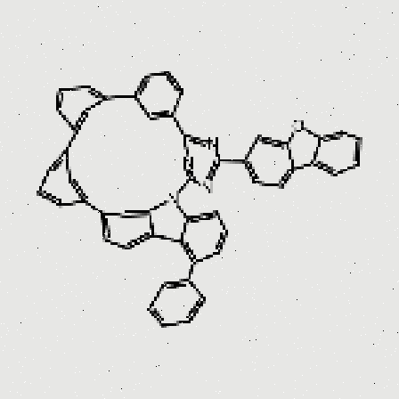 c1ccc(-c2cccc3c2c2ccc4cc2n3-c2nc(nc(-c3ccc5c(c3)oc3ccccc35)n2)-c2cccc(c2)-c2cccc(c2)-c2cccc-4c2)cc1